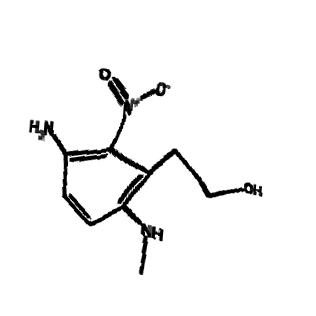 CNc1ccc(N)c([N+](=O)[O-])c1CCO